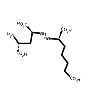 N[C@H](C[C@H](NN[C@H](CCCCC(=O)O)C(=O)O)C(=O)O)C(=O)O